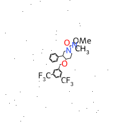 CON(C)C(=O)N1CCC(OCc2cc(C(F)(F)F)cc(C(F)(F)F)c2)C(c2ccccc2)C1